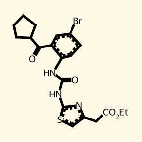 CCOC(=O)Cc1csc(NC(=O)Nc2ccc(Br)cc2C(=O)C2CCCC2)n1